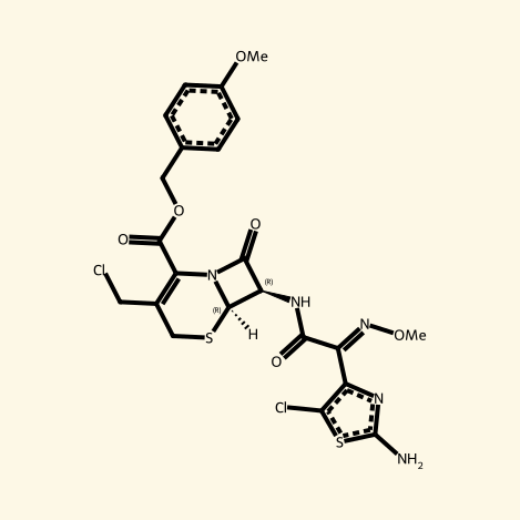 CON=C(C(=O)N[C@@H]1C(=O)N2C(C(=O)OCc3ccc(OC)cc3)=C(CCl)CS[C@H]12)c1nc(N)sc1Cl